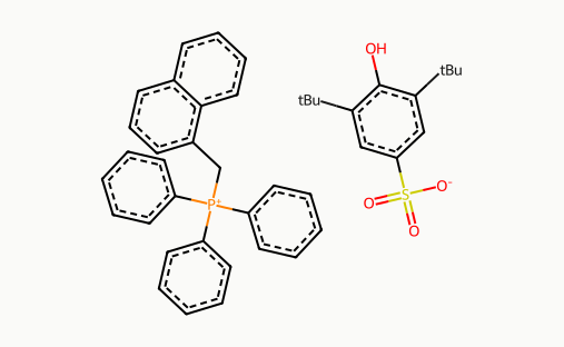 CC(C)(C)c1cc(S(=O)(=O)[O-])cc(C(C)(C)C)c1O.c1ccc([P+](Cc2cccc3ccccc23)(c2ccccc2)c2ccccc2)cc1